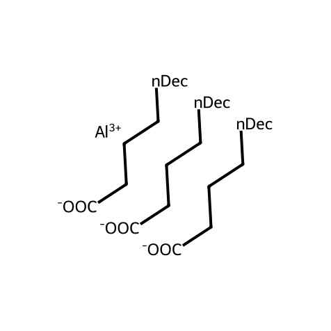 CCCCCCCCCCCCCC(=O)[O-].CCCCCCCCCCCCCC(=O)[O-].CCCCCCCCCCCCCC(=O)[O-].[Al+3]